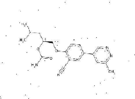 Cc1cc(-c2ccc(OC[C@H](CC(C)C)OC(N)=O)c(C#N)c2)cnn1